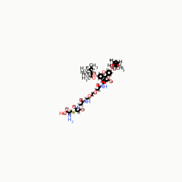 CC1OB(c2ccc3c(c2)Oc2cc(B4OC5[C@@H]6C[C@H](C[C@]5(C)O4)C6(C)C)ccc2C32OC(=O)c3cc(NC(=O)CCOCCOCCNC(=O)CCN4C(=O)CC(SCC(N)C(=O)O)C4=O)ccc32)O[C@@]1(C)[C@H]1C[C@@H](C)C1(C)C